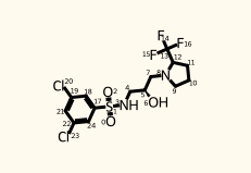 O=S(=O)(NC[C@H](O)CN1CCCC1C(F)(F)F)c1cc(Cl)cc(Cl)c1